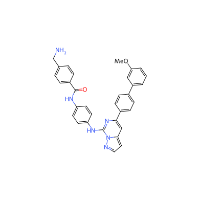 COc1cccc(-c2ccc(-c3cc4ccnn4c(Nc4ccc(NC(=O)c5ccc(CN)cc5)cc4)n3)cc2)c1